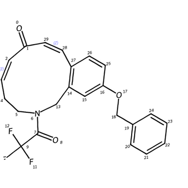 O=C1/C=C\CCN(C(=O)C(F)(F)F)Cc2cc(OCc3ccccc3)ccc2/C=C\1